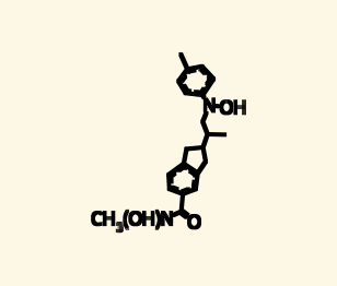 Cc1ccc(N(O)CC(C)C2Cc3ccc(C(=O)N(C)O)cc3C2)cc1